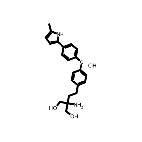 Cc1ccc(-c2ccc(Oc3ccc(CCC(N)(CO)CO)cc3)cc2)[nH]1.Cl